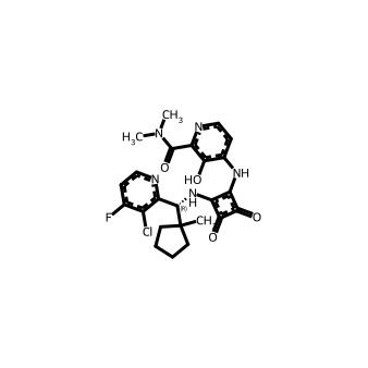 CN(C)C(=O)c1nccc(Nc2c(N[C@@H](c3nccc(F)c3Cl)C3(C)CCCC3)c(=O)c2=O)c1O